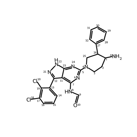 NC1CCN(c2nc(NC=O)c3c(-c4cccc(Cl)c4Cl)n[nH]c3n2)CC1c1ccccc1